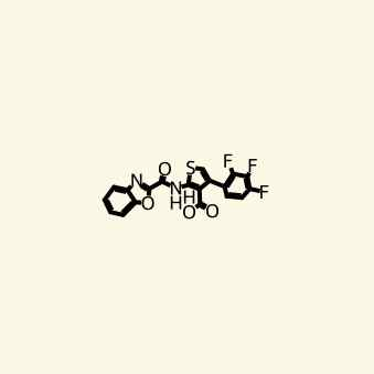 O=C(Nc1scc(-c2ccc(F)c(F)c2F)c1C(=O)O)c1nc2ccccc2o1